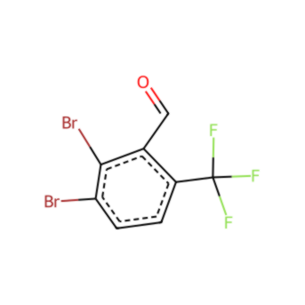 O=Cc1c(C(F)(F)F)ccc(Br)c1Br